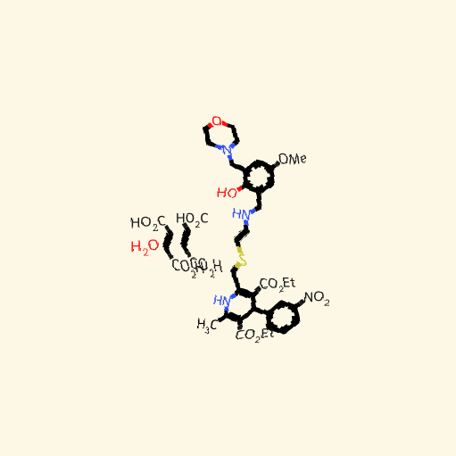 CCOC(=O)C1=C(C)NC(CSCCNCc2cc(OC)cc(CN3CCOCC3)c2O)=C(C(=O)OCC)C1c1cccc([N+](=O)[O-])c1.O.O=C(O)C=CC(=O)O.O=C(O)C=CC(=O)O